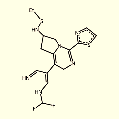 CCSNC1CC2=C(/C(C=N)=C/NC(F)F)CN=C(c3nccs3)N2C1